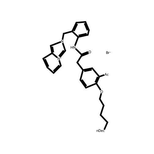 CCCCCCCCCCCCCCOc1ccc(CC(=O)Nc2ccccc2Cn2cc3cccc[n+]3c2)cc1C(C)=O.[Br-]